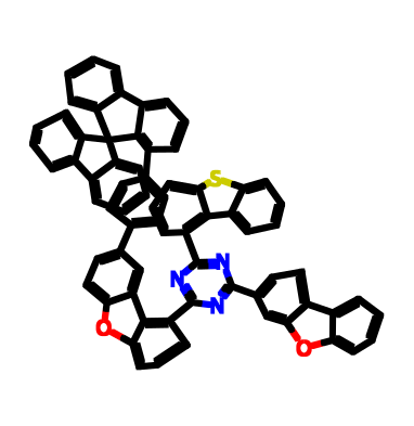 c1ccc2c(c1)-c1ccccc1C21c2ccccc2-c2cccc(-c3ccc(-c4ccc5oc6cccc(-c7nc(-c8ccc9c(c8)oc8ccccc89)nc(-c8cccc9sc%10ccccc%10c89)n7)c6c5c4)cc3)c21